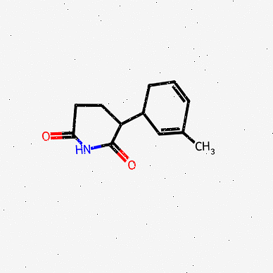 CC1=CC(C2CCC(=O)NC2=O)CC=C1